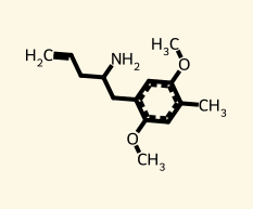 C=CCC(N)Cc1cc(OC)c(C)cc1OC